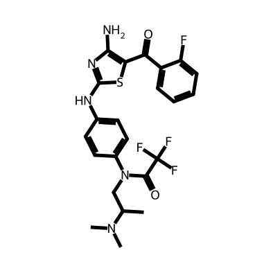 CC(CN(C(=O)C(F)(F)F)c1ccc(Nc2nc(N)c(C(=O)c3ccccc3F)s2)cc1)N(C)C